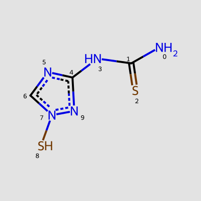 NC(=S)Nc1ncn(S)n1